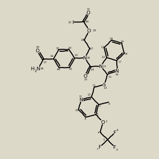 Cc1c(OCC(F)(F)F)ccnc1CSc1nc2ccccc2n1C(=O)N(CCOC(=O)I)c1ccc(C(N)=O)cc1